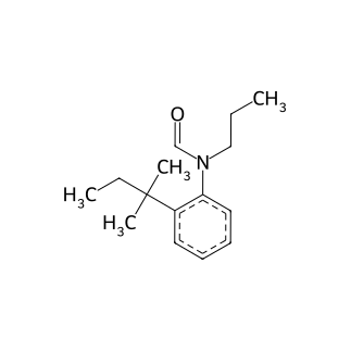 CCCN(C=O)c1ccccc1C(C)(C)CC